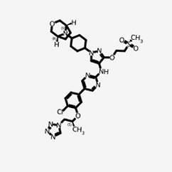 C[C@@H](Cn1cnnn1)Oc1cc(-c2cnc(Nc3cn(C4CCC(N5[C@@H]6CC[C@H]5COC6)CC4)nc3OCCS(C)(=O)=O)nc2)ccc1Cl